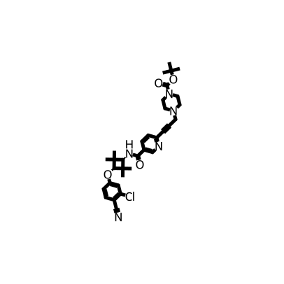 CC(C)(C)OC(=O)N1CCN(CC#Cc2ccc(C(=O)N[C@H]3C(C)(C)[C@H](Oc4ccc(C#N)c(Cl)c4)C3(C)C)cn2)CC1